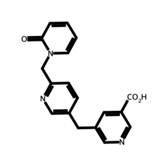 O=C(O)c1cncc(Cc2ccc(Cn3ccccc3=O)nc2)c1